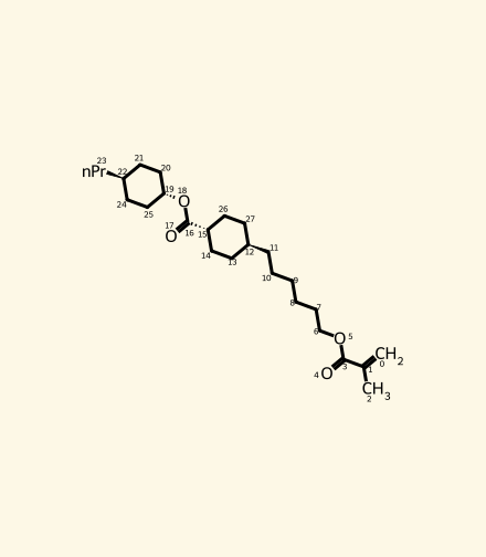 C=C(C)C(=O)OCCCCCC[C@H]1CC[C@H](C(=O)O[C@H]2CC[C@H](CCC)CC2)CC1